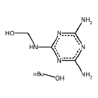 CCCCO.Nc1nc(N)nc(NCO)n1